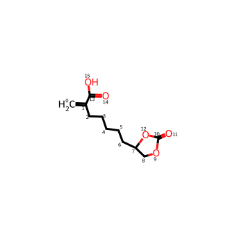 C=C(CCCCCC1COC(=O)O1)C(=O)O